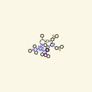 C=C1/C=C(c2ccccc2)\C=C/CN(c2nc(N3c4ccccc4N(c4ccccc4)c4ccccc43)nc(N3c4ccccc4N(c4ccccc4)c4ccccc43)n2)c2cc3c4cc(-c5ccccc5)ccc4n(-c4cc(-c5ccc6sc7ccccc7c6c5)nc(-c5ccc6sc7ccccc7c6c5)c4)c3cc21